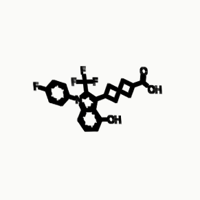 O=C(O)C1CC2(C1)CC(c1c(C(F)(F)F)n(-c3ccc(F)cc3)c3cccc(O)c13)C2